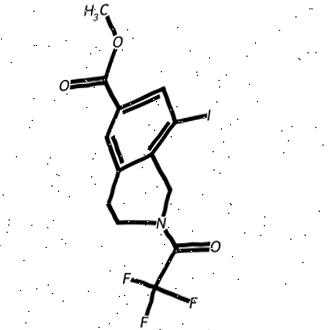 COC(=O)c1cc(I)c2c(c1)CCN(C(=O)C(F)(F)F)C2